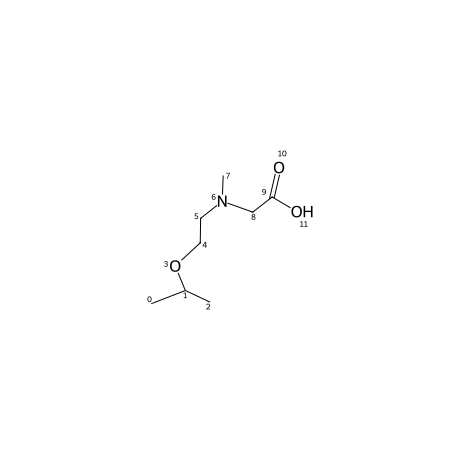 CC(C)OCCN(C)CC(=O)O